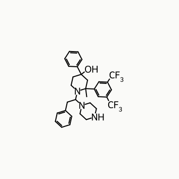 CC1(c2cc(C(F)(F)F)cc(C(F)(F)F)c2)CC(O)(c2ccccc2)CCN1C(Cc1ccccc1)N1CCNCC1